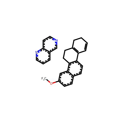 FC(F)(F)Oc1ccc2ccc3c(c2c1)CCC1=C3C=CCC1.c1cnc2ccncc2c1